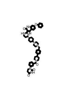 NC(=O)c1c(-c2ccc(Oc3ccccc3)cc2)nn2c1NCC[C@H]2C1CCC(N2CCN(Cc3ccc(C4CCN(C(=O)c5cccc(N6CCC(=O)NC6=O)c5)CC4)cc3)CC2)CC1